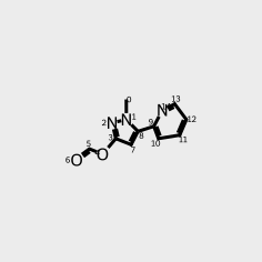 Cn1nc(OC=O)cc1-c1ccccn1